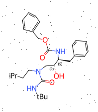 CC(C)CCN(C[C@@H](O)[C@H](Cc1ccccc1)NC(=O)OCc1ccccc1)C(=O)NC(C)(C)C